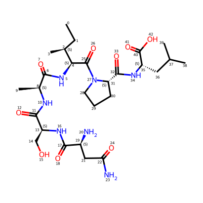 CC[C@H](C)[C@H](NC(=O)[C@H](C)NC(=O)[C@H](CO)NC(=O)[C@@H](N)CC(N)=O)C(=O)N1CCC[C@H]1C(=O)N[C@@H](CC(C)C)C(=O)O